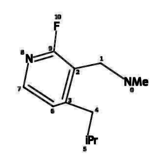 CNCc1c(CC(C)C)ccnc1F